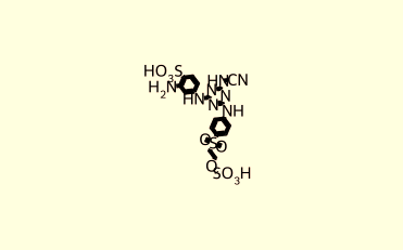 N#CNc1nc(Nc2ccc(S(=O)(=O)CCOS(=O)(=O)O)cc2)nc(Nc2ccc(S(=O)(=O)O)c(N)c2)n1